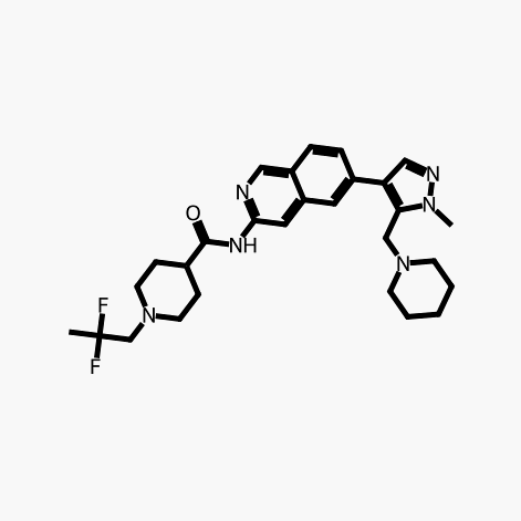 Cn1ncc(-c2ccc3cnc(NC(=O)C4CCN(CC(C)(F)F)CC4)cc3c2)c1CN1CCCCC1